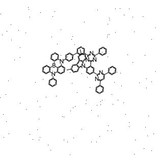 Cc1ccc2c(c1)c1cc(C)ccc1n2-c1ccc(-c2nc(-c3ccccc3)cc(-c3ccccc3)n2)cc1-c1nc(-c2ccccc2)nc(-c2cccc(-c3ccc(N4c5ccccc5B5c6ccccc6N(c6ccccc6)c6cccc4c65)cc3)c2)n1